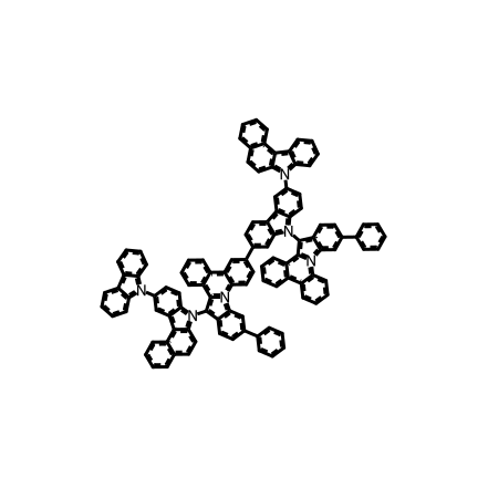 c1ccc(-c2ccc3c(-n4c5ccc(-n6c7ccccc7c7c8ccccc8ccc76)cc5c5ccc(-c6ccc7c(c6)c6ccccc6c6c(-n8c9ccc(-n%10c%11ccccc%11c%11ccccc%11%10)cc9c9c%10ccccc%10ccc98)c8ccc(-c9ccccc9)cc8n76)cc54)c4c5ccccc5c5ccccc5n4c3c2)cc1